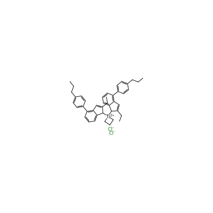 CCCc1ccc(-c2cccc3c2C=C(CC)[CH]3[Ti+2]2([CH]3C(CC)=Cc4c(-c5ccc(CCC)cc5)cccc43)[CH2]C[CH2]2)cc1.[Cl-].[Cl-]